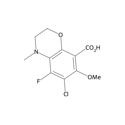 COc1c(Cl)c(F)c2c(c1C(=O)O)OCCN2C